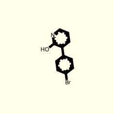 Oc1ncccc1-c1ccc(Br)cc1